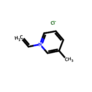 C=C[n+]1cccc(C)c1.[Cl-]